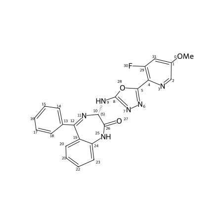 COc1cnc(-c2nnc(N[C@H]3N=C(c4ccccc4)c4ccccc4NC3=O)o2)c(F)c1